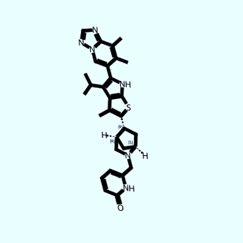 Cc1c(-c2[nH]c3sc([C@@H]4C[C@@H]5C[C@H]4CN5Cc4cccc(=O)[nH]4)c(C)c3c2C(C)C)cn2ncnc2c1C